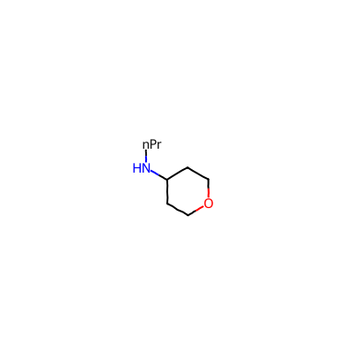 CCCNC1CCOCC1